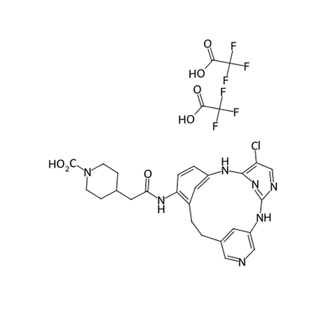 O=C(CC1CCN(C(=O)O)CC1)Nc1ccc2cc1CCc1cncc(c1)Nc1ncc(Cl)c(n1)N2.O=C(O)C(F)(F)F.O=C(O)C(F)(F)F